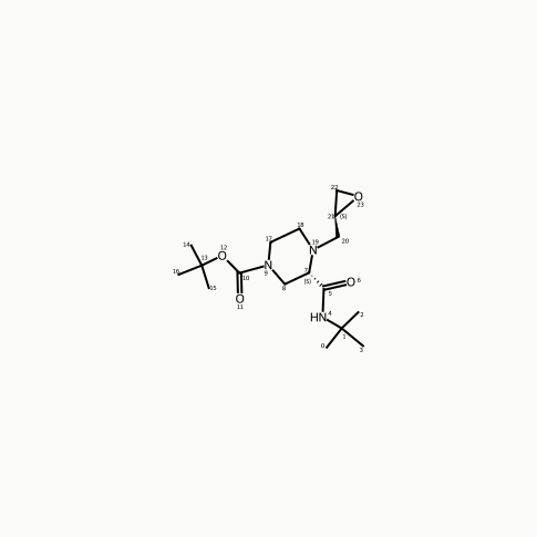 CC(C)(C)NC(=O)[C@@H]1CN(C(=O)OC(C)(C)C)CCN1C[C@H]1CO1